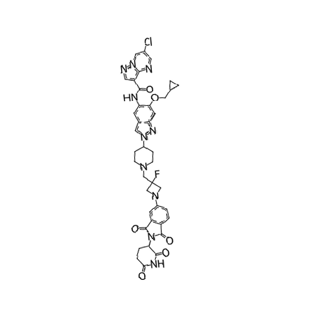 O=C1CCC(N2C(=O)c3ccc(N4CC(F)(CN5CCC(n6cc7cc(NC(=O)c8cnn9cc(Cl)cnc89)c(OCC8CC8)cc7n6)CC5)C4)cc3C2=O)C(=O)N1